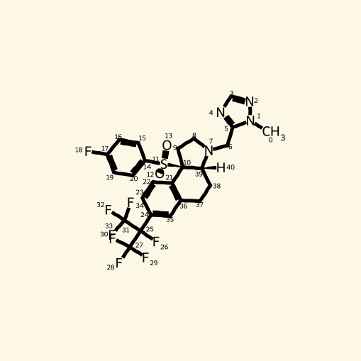 Cn1ncnc1CN1CC[C@@]2(S(=O)(=O)c3ccc(F)cc3)c3ccc(C(F)(C(F)(F)F)C(F)(F)F)cc3CC[C@@H]12